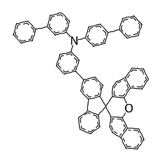 c1ccc(-c2ccc(N(c3cccc(-c4ccccc4)c3)c3cccc(-c4ccc5c(c4)-c4ccccc4C54c5ccc6ccccc6c5Oc5c4ccc4ccccc54)c3)cc2)cc1